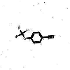 C#Cc1ccc(SC(F)(F)F)cc1